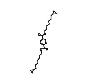 O=C(OCCCCCCCC1CC1)c1ccc(C(=O)OCCCCCCCC2CC2)cc1